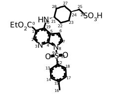 CCOC(=O)c1cnc2c(ccn2S(=O)(=O)c2ccc(C)cc2)c1N[C@H]1CC[C@H](CS(=O)(=O)O)CC1